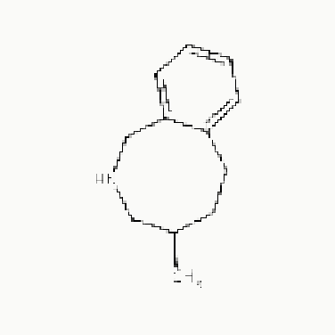 CC1CCc2ccccc2CNC1